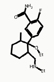 CCNCC1CCCC(C)C1(OCC)c1ccc(F)c(C(N)=O)c1